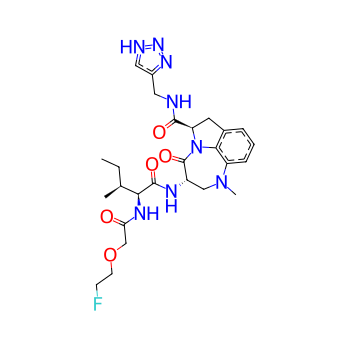 CC[C@H](C)[C@H](NC(=O)COCCF)C(=O)N[C@H]1CN(C)c2cccc3c2N(C1=O)[C@@H](C(=O)NCc1c[nH]nn1)C3